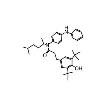 CC(C)CCC(C)N(C(=O)CCc1cc(C(C)(C)C)c(O)c(C(C)(C)C)c1)c1ccc(Nc2ccccc2)cc1